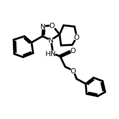 O=C(COCc1ccccc1)NN1C(c2ccccc2)=NOC12CCOCC2